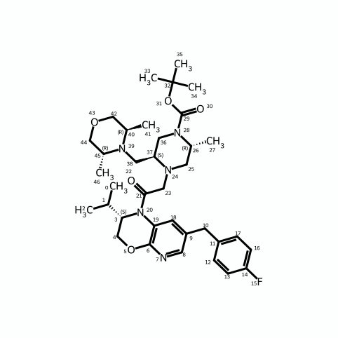 CC(C)[C@H]1COc2ncc(Cc3ccc(F)cc3)cc2N1C(=O)CN1C[C@@H](C)N(C(=O)OC(C)(C)C)C[C@@H]1CN1[C@H](C)COC[C@H]1C